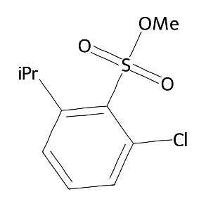 [CH2]OS(=O)(=O)c1c(Cl)cccc1C(C)C